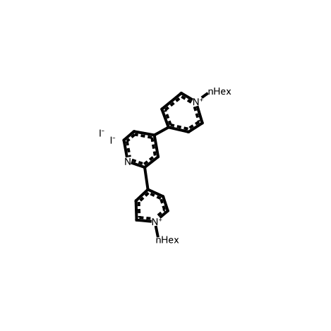 CCCCCC[n+]1ccc(-c2ccnc(-c3cc[n+](CCCCCC)cc3)c2)cc1.[I-].[I-]